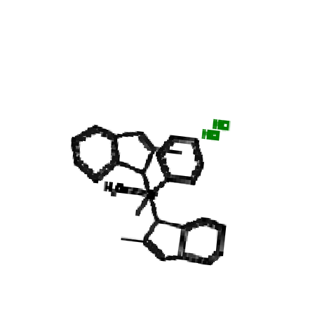 CC1=Cc2ccccc2[CH]1[Zr]([CH3])(=[GeH2])([c]1ccccc1)[CH]1C(C)=Cc2ccccc21.Cl.Cl